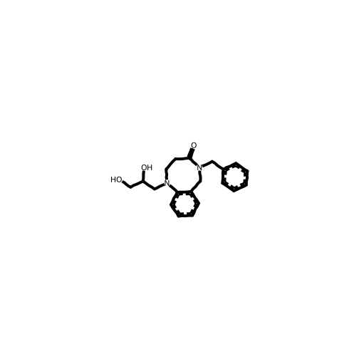 O=C1CCN(CC(O)CO)c2ccccc2CN1Cc1ccccc1